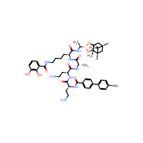 CCCCc1ccc(-c2ccc(C(=O)N[C@@H](CCN)C(=O)N[C@@H](CCN)C(=O)N[C@@H](C)C(=O)N[C@@H](CCCCNC(=O)c3cccc(O)c3O)C(=O)N[C@@H](C)B3OC4C[C@@H]5C[C@@H](C5(C)C)[C@]4(C)O3)cc2)cc1